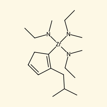 CC[N](C)[Zr]([C]1=C(CC(C)C)C=CC1)([N](C)CC)[N](C)CC